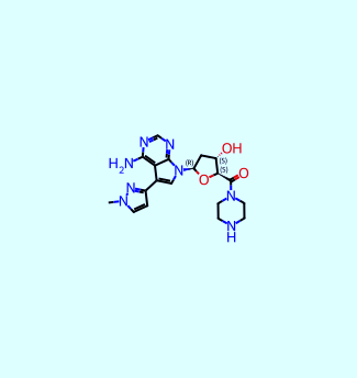 Cn1ccc(-c2cn([C@H]3C[C@H](O)[C@@H](C(=O)N4CCNCC4)O3)c3ncnc(N)c23)n1